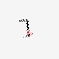 CCCCCCCCCCCCCCOOC(=O)CCC